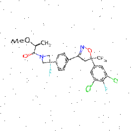 COC(C)C(=O)N1CC(F)(c2ccc(C3=NOC(c4cc(Cl)c(F)c(Cl)c4)(C(F)(F)F)C3)cc2)C1